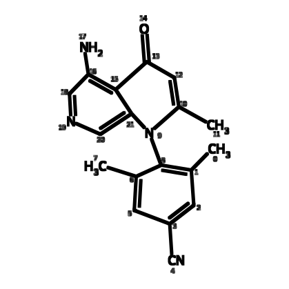 Cc1cc(C#N)cc(C)c1-n1c(C)cc(=O)c2c(N)cncc21